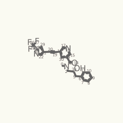 CN(CC(O)Cc1ccccc1)C(=O)c1cncc(C#Cc2cnn(C(F)(F)F)c2)c1